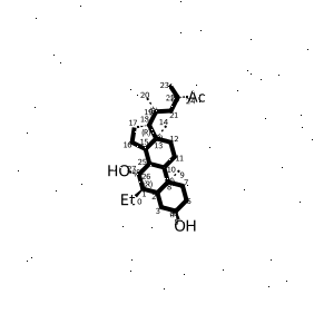 CC[C@@H]1C2C[C@H](O)CC[C@]2(C)C2CC[C@@]3(C)C(CC[C@@H]3[C@H](C)C[C@H](C)C(C)=O)C2[C@H]1O